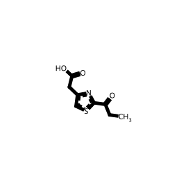 CCC(=O)c1nc(CC(=O)O)cs1